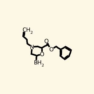 BC1CN(CCC=C)CC(C(=O)OCc2ccccc2)O1